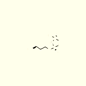 C=CCCOP(=O)(F)NP(=O)(O)F